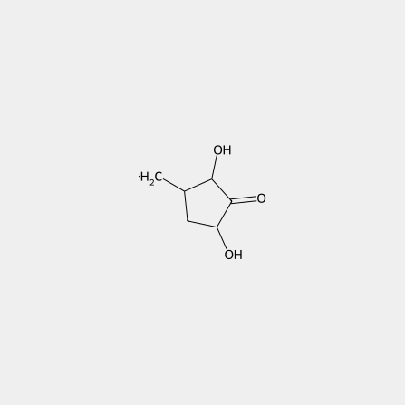 [CH2]C1CC(O)C(=O)C1O